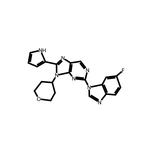 Fc1ccc2ncn(-c3ncc4nc(-c5ccc[nH]5)n(C5CCOCC5)c4n3)c2c1